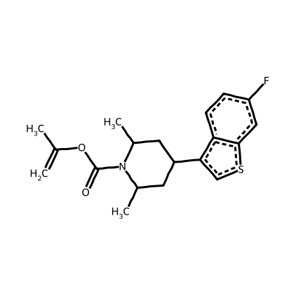 C=C(C)OC(=O)N1C(C)CC(c2csc3cc(F)ccc23)CC1C